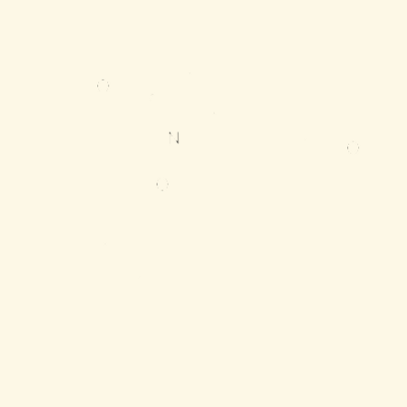 O=C1C=CC2(C=C1)CC(=O)N2OCc1ccccc1